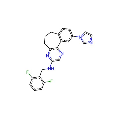 Fc1cccc(F)c1CNc1cnc2c(n1)CCCc1ccc(-n3ccnc3)cc1-2